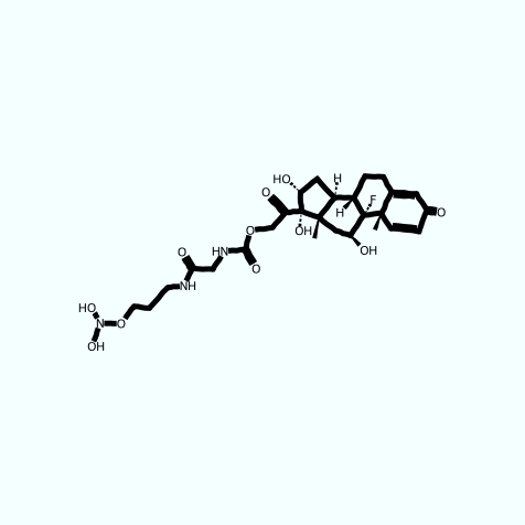 C[C@]12C=CC(=O)C=C1CC[C@H]1[C@@H]3C[C@@H](O)[C@](O)(C(=O)COC(=O)NCC(=O)NCCCON(O)O)[C@@]3(C)C[C@H](O)[C@@]12F